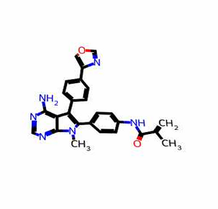 C=C(C)C(=O)Nc1ccc(-c2c(-c3ccc(-c4cocn4)cc3)c3c(N)ncnc3n2C)cc1